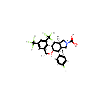 C[C@@H](O[C@H]1CC[C@H]2CN(C(=O)O)C[C@H]2[C@@H]1c1ccc(F)cc1)c1cc(C(F)(F)F)cc(C(F)(F)F)c1